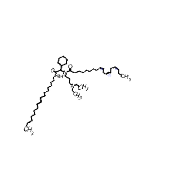 CC/C=C\C/C=C\C/C=C\CCCCCCCC(=O)N(CCCN(CC)CC)C(C(=O)NCCCCCCCCCCCCCCCCCC)C1CCCCC1